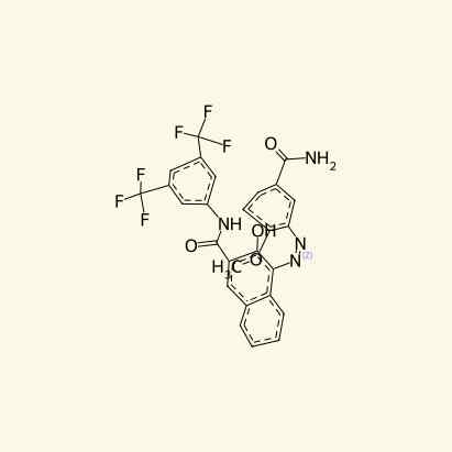 COc1ccc(C(N)=O)cc1/N=N\c1c(O)c(C(=O)Nc2cc(C(F)(F)F)cc(C(F)(F)F)c2)cc2ccccc12